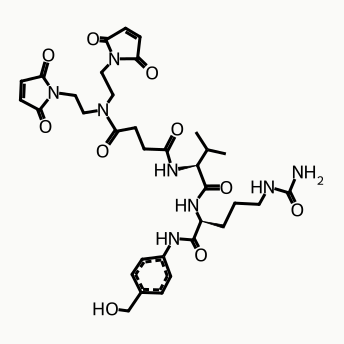 CC(C)[C@H](NC(=O)CCC(=O)N(CCN1C(=O)C=CC1=O)CCN1C(=O)C=CC1=O)C(=O)N[C@@H](CCCNC(N)=O)C(=O)Nc1ccc(CO)cc1